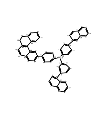 c1cc(-c2cccc3ccccc23)cc(N(c2ccc(-c3ccc4ccccc4c3)cc2)c2ccc(-c3ccc4ccc5c(c4c3)-c3ccccc3CC5)cc2)c1